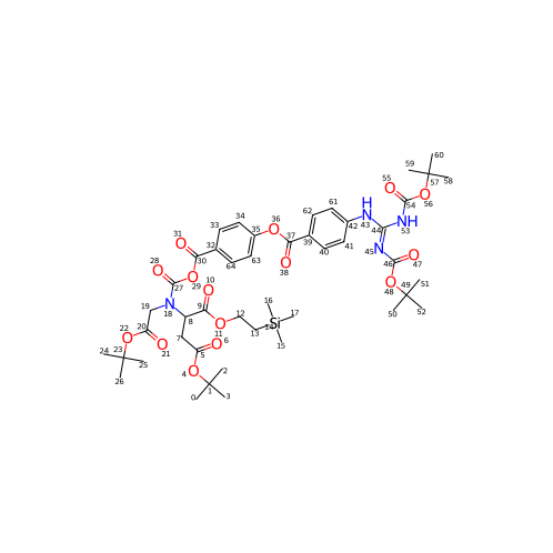 CC(C)(C)OC(=O)CC(C(=O)OCC[Si](C)(C)C)N(CC(=O)OC(C)(C)C)C(=O)OC(=O)c1ccc(OC(=O)c2ccc(NC(=NC(=O)OC(C)(C)C)NC(=O)OC(C)(C)C)cc2)cc1